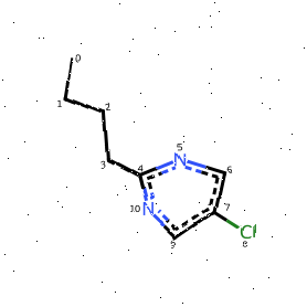 CCCCc1ncc(Cl)cn1